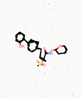 CC(CCc1ccc(-c2ccccc2O)cc1)(C(=O)NOC1CCCCO1)S(C)(=O)=O